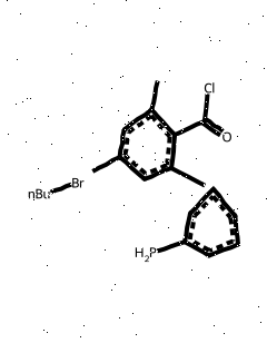 CCCCBr.Cc1cc(C)c(C(=O)Cl)c(C)c1.Pc1ccccc1